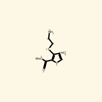 COC(=O)c1sccc1SCCN.Cl